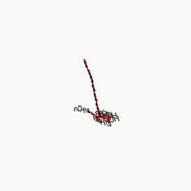 CC#CC#CC#CC#CC#CC#CC#CC#CC#CC#CC#CC#CC(=O)O[C@@H](COC1OC(CO)C(O)C(O)C1O)[C@@H]1OC(C)(C)O[C@@H]1CCCCCCCCCCCCCC